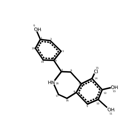 Oc1ccc(C2Cc3c(cc(O)c(O)c3Cl)CCN2)cc1